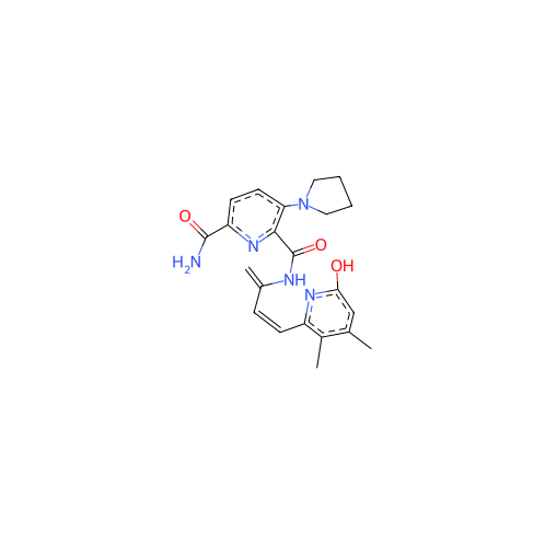 C=C(/C=C\c1nc(O)cc(C)c1C)NC(=O)c1nc(C(N)=O)ccc1N1CCCC1